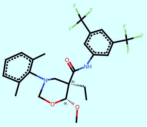 CC[C@@]1(C(=O)Nc2cc(C(F)(F)F)cc(C(F)(F)F)c2)CN(c2c(C)cccc2C)CO[C@H]1OC